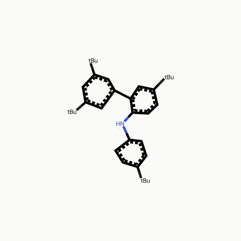 CC(C)(C)c1ccc(Nc2ccc(C(C)(C)C)cc2-c2cc(C(C)(C)C)cc(C(C)(C)C)c2)cc1